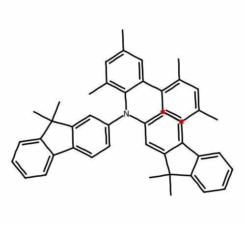 Cc1ccc(-c2cc(C)cc(C)c2N(c2ccc3c(c2)C(C)(C)c2ccccc2-3)c2ccc3c(c2)C(C)(C)c2ccccc2-3)c(C)c1